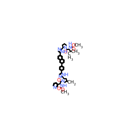 C=C1CC(c2ncc(-c3ccc(-c4ccc5cc(-c6cnc(C7CCCN7C(=O)C(NC(=O)OC)C(C)C)[nH]6)ccc5c4)cc3)[nH]2)N(C(=O)C(NC(=O)OC)c2cccnc2)C1